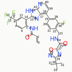 C=CC(=O)Nc1ccc(C(F)(F)F)cc1-c1nc2c(-c3ccc(CNC(=O)c4nc(C(C)(C)C)no4)c(F)c3)ccnc2[nH]1